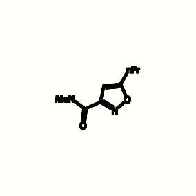 CCCc1cc(C(=O)NC)no1